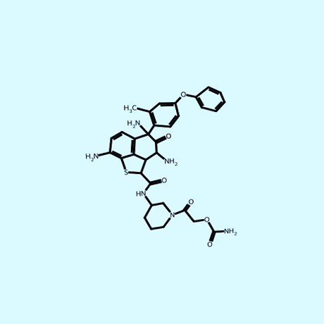 Cc1cc(Oc2ccccc2)ccc1C1(N)C(=O)C(N)C2c3c1ccc(N)c3SC2C(=O)NC1CCCN(C(=O)COC(N)=O)C1